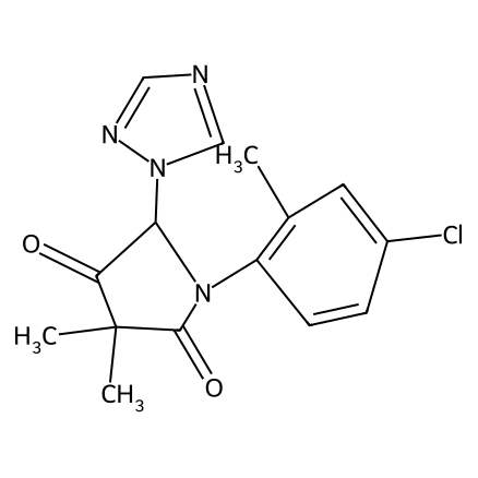 Cc1cc(Cl)ccc1N1C(=O)C(C)(C)C(=O)C1n1cncn1